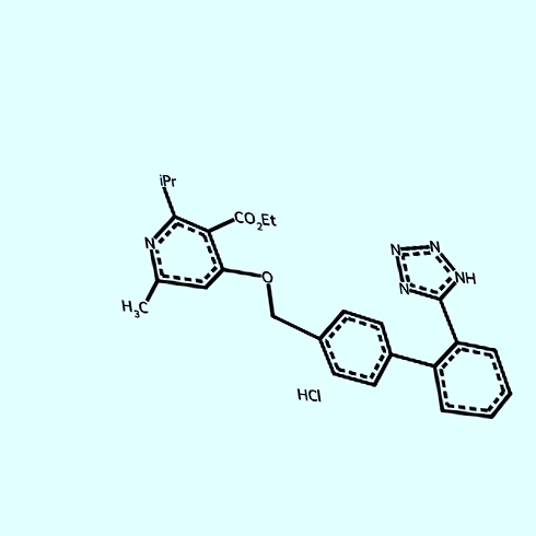 CCOC(=O)c1c(OCc2ccc(-c3ccccc3-c3nnn[nH]3)cc2)cc(C)nc1C(C)C.Cl